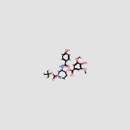 COc1cc(C(=O)O[C@@H]2CCCN(C(=O)OC(C)(C)C)C[C@H]2NC(=O)c2ccc(O)cc2)cc(OC)c1O